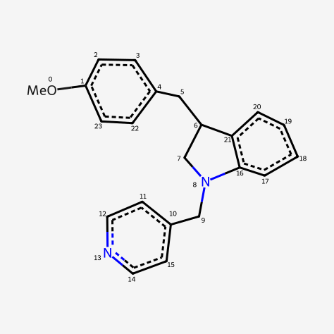 COc1ccc(CC2CN(Cc3ccncc3)c3ccccc32)cc1